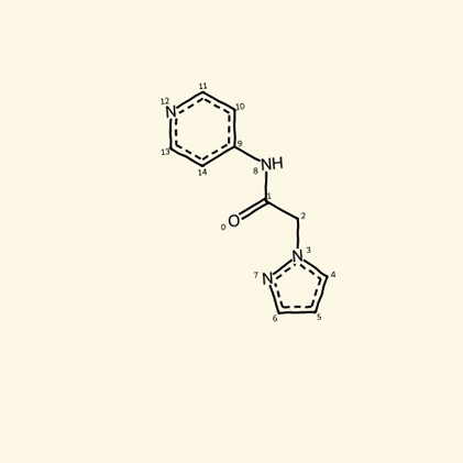 O=C(Cn1cccn1)Nc1ccncc1